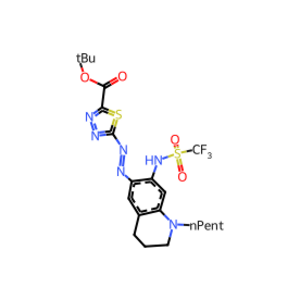 CCCCCN1CCCc2cc(N=Nc3nnc(C(=O)OC(C)(C)C)s3)c(NS(=O)(=O)C(F)(F)F)cc21